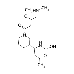 CCCC(NC(=O)O)[C@@H]1CCCN(C(=O)CC(CNC)OC)C1